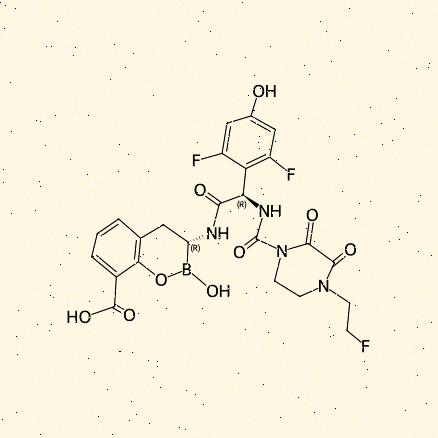 O=C(O)c1cccc2c1OB(O)[C@@H](NC(=O)[C@H](NC(=O)N1CCN(CCF)C(=O)C1=O)c1c(F)cc(O)cc1F)C2